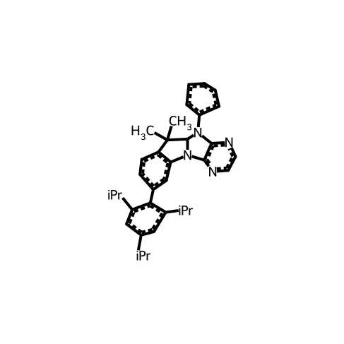 CC(C)c1cc(C(C)C)c(-c2ccc3c(c2)N2c4nccnc4N(c4ccccc4)C2C3(C)C)c(C(C)C)c1